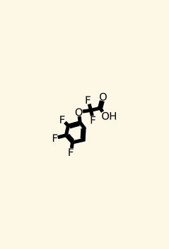 O=C(O)C(F)(F)Oc1ccc(F)c(F)c1F